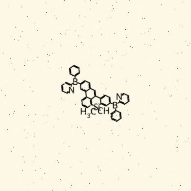 C[Si]1(C)c2cc(B(c3ccccc3)c3ccccn3)ccc2-c2cc3ccc(B(c4ccccc4)c4ccccn4)cc3c3cccc1c23